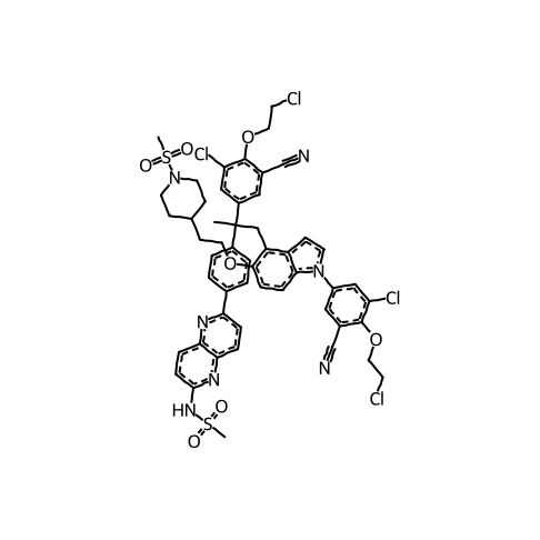 CC(Cc1c(OCCC2CCN(S(C)(=O)=O)CC2)ccc2c1ccn2-c1cc(Cl)c(OCCCl)c(C#N)c1)(c1ccc(-c2ccc3nc(NS(C)(=O)=O)ccc3n2)cc1)c1cc(Cl)c(OCCCl)c(C#N)c1